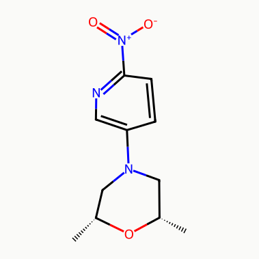 C[C@@H]1CN(c2ccc([N+](=O)[O-])nc2)C[C@H](C)O1